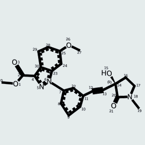 COC(=O)c1nn(-c2cccc(C#C[C@]3(O)CCN(C)C3=O)c2)c2cc(OC)ccc12